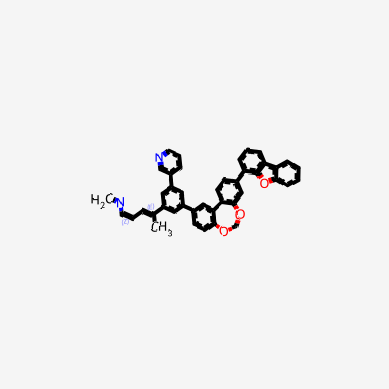 C=N/C=C\C=C(/C)c1cc(-c2cccnc2)cc(-c2ccc3c(c2)-c2ccc(-c4cccc5c4oc4ccccc45)cc2OCO3)c1